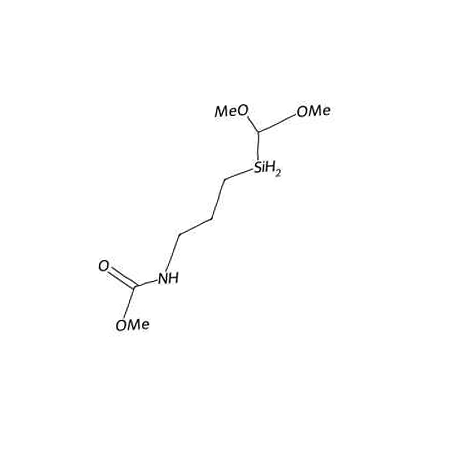 COC(=O)NCCC[SiH2]C(OC)OC